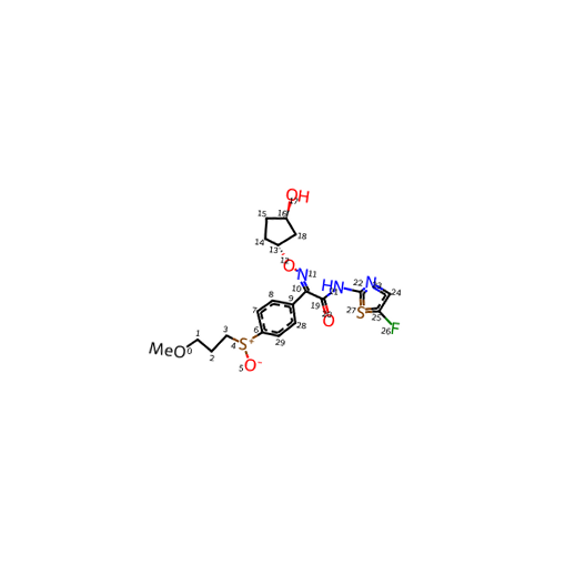 COCCC[S+]([O-])c1ccc(/C(=N\O[C@@H]2CC[C@@H](O)C2)C(=O)Nc2ncc(F)s2)cc1